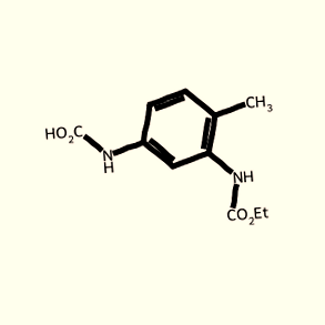 CCOC(=O)Nc1cc(NC(=O)O)ccc1C